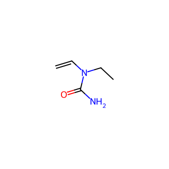 C=CN(CC)C(N)=O